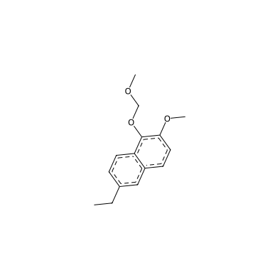 CCc1ccc2c(OCOC)c(OC)ccc2c1